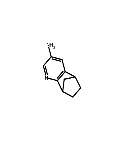 Nc1cnc2c(c1)C1CCC2C1